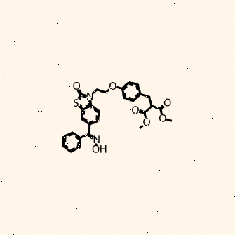 COC(=O)C(Cc1ccc(OCCn2c(=O)sc3cc(/C(=N/O)c4ccccc4)ccc32)cc1)C(=O)OC